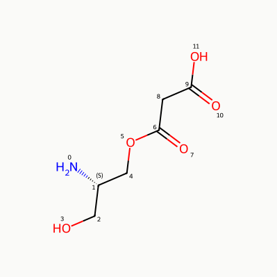 N[C@@H](CO)COC(=O)CC(=O)O